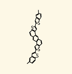 Cc1ccc2sc(-c3cc4c(ccc5cc6c(ccc7sc(-c8cc9cc(C)ccc9s8)cc76)cc54)s3)cc2c1